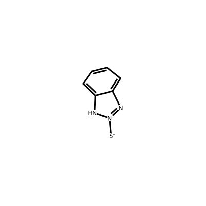 [S-][n+]1nc2ccccc2[nH]1